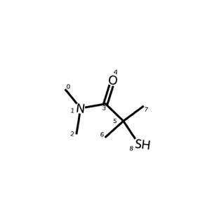 CN(C)C(=O)C(C)(C)S